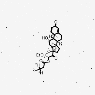 [2H]C([2H])([2H])CC(=O)OCC(=O)[C@@]1(OC(=O)OCC)CC[C@H]2[C@@H]3CCC4=CC(=O)C=C[C@]4(C)[C@H]3[C@@H](O)C[C@@]21C